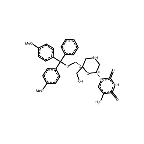 COc1ccc(C(OC[C@]2(CO)CNC[C@H](n3cc(C)c(=O)[nH]c3=O)O2)(c2ccccc2)c2ccc(OC)cc2)cc1